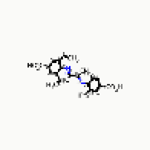 C=Cc1cc(C(=O)O)cc(C=C)c1/N=C(C)/C(C)=N/c1c(C(C)C)cc(C(=O)O)cc1C(C)C